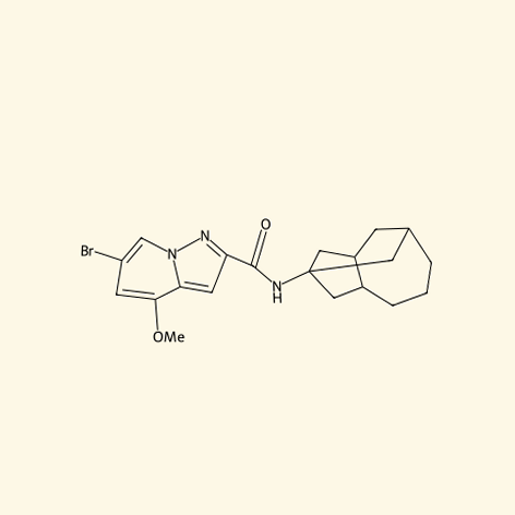 COc1cc(Br)cn2nc(C(=O)NC34CC5CCCC(C3)C(C5)C4)cc12